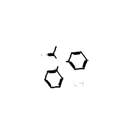 CC(=O)[S+](c1ccccc1)c1ccccc1.[CH3-]